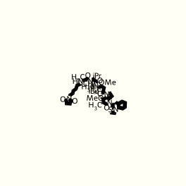 CC[C@H](C)[C@@H]([C@@H](CC(=O)N1CCCC1[C@H](OC)[C@@H](C)C(=O)N[C@@H](Cc1ccccc1)c1nccs1)OC)N(C)C(=O)[C@@H](NC(=O)C(C)(C)NCCCCCCN1C(=O)C=CC1=O)C(C)C